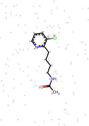 CC(=O)NCCCCc1ncccc1Cl